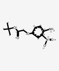 CC(C)(C)OC(=O)COc1ccc(N)c([N+](=O)[O-])c1